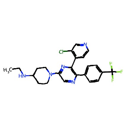 CCNC1CCN(c2cnc(-c3ccc(C(F)(F)F)cc3)c(-c3ccncc3Cl)n2)CC1